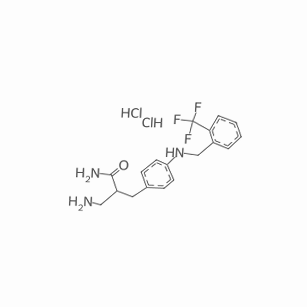 Cl.Cl.NCC(Cc1ccc(NCc2ccccc2C(F)(F)F)cc1)C(N)=O